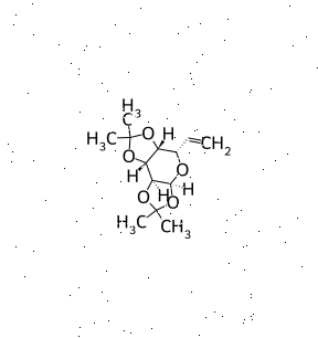 C=C[C@@H]1O[C@H]2OC(C)(C)O[C@H]2[C@@H]2OC(C)(C)O[C@@H]21